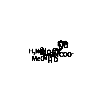 CON=C(C(=O)NC1C(=O)N2C(C(=O)[O-])=C(C[n+]3cccc4ccoc43)CS[C@@H]12)c1cc(N)on1